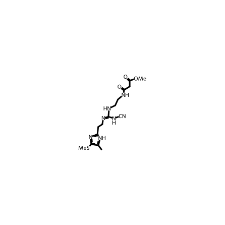 COC(=O)CC(=O)NCCNC(=NCCc1nc(SC)c(C)[nH]1)NC#N